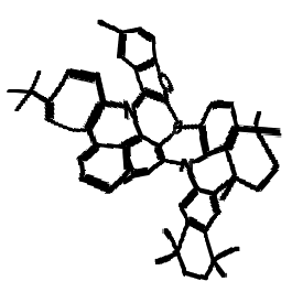 Cc1cc2c3c(c1)N(c1ccc(C(C)(C)C)cc1-c1ccccc1)c1c(oc4ccc(C)cc14)B3c1ccc3c4c1N2c1cc2c(cc1C4(C)CCC3(C)C)C(C)(C)CCC2(C)C